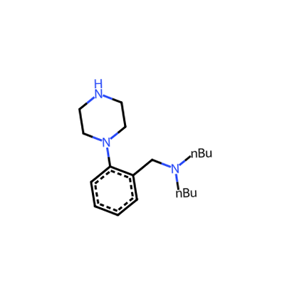 CCCCN(CCCC)Cc1ccccc1N1CCNCC1